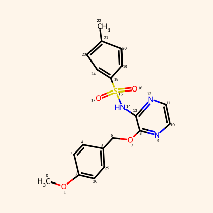 COc1ccc(COc2nccnc2NS(=O)(=O)c2ccc(C)cc2)cc1